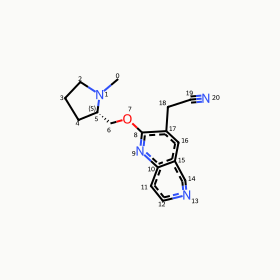 CN1CCC[C@H]1COc1nc2ccncc2cc1CC#N